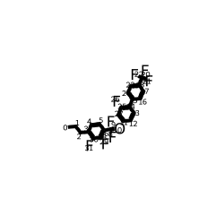 CCCc1ccc(C(F)(F)Oc2ccc(-c3ccc(C(F)(F)F)cc3)c(F)c2)c(F)c1F